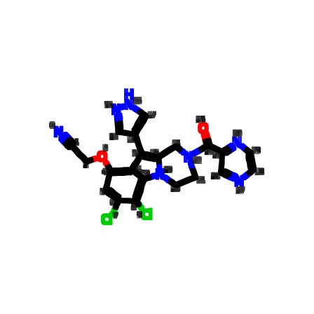 N#CCOc1cc(Cl)c(Cl)c2c1c(-c1cn[nH]c1)c1n2CCN(C(=O)c2cnccn2)C1